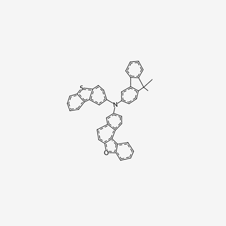 CC1(C)c2ccccc2-c2cc(N(c3ccc4c(ccc5oc6ccccc6c54)c3)c3ccc4sc5ccccc5c4c3)ccc21